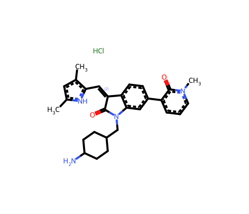 Cc1cc(C)c(/C=C2\C(=O)N(CC3CCC(N)CC3)c3cc(-c4cccn(C)c4=O)ccc32)[nH]1.Cl